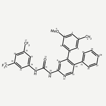 COc1cc(C)cc(-c2nc(NC(=O)Nc3cc(C(F)(F)F)cc(C(F)(F)F)c3)ncc2-c2ccncc2)c1